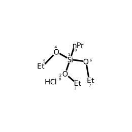 CCC[Si](OCC)(OCC)OCC.Cl